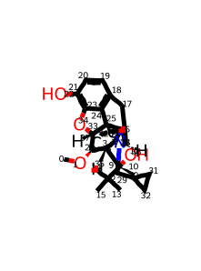 CO[C@@]12CCC[C@@]3(C[C@@H]1[C@](C)(O)C(C)(C)C)[C@H]1Cc4ccc(O)c5c4[C@@]3(CCN1CC1CC1)[C@H]2O5